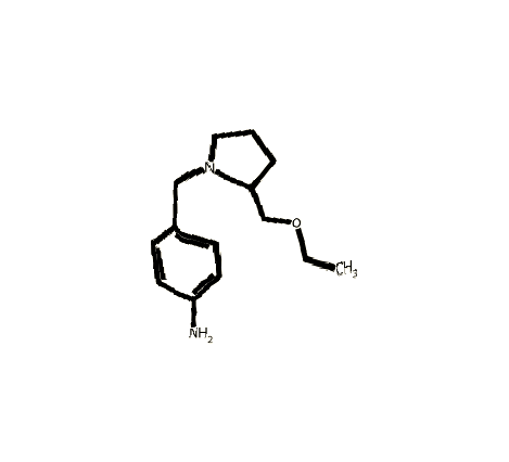 CCOCC1CCCN1Cc1ccc(N)cc1